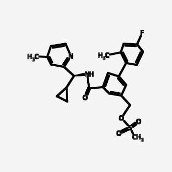 Cc1ccnc([C@@H](NC(=O)c2cc(COS(C)(=O)=O)cc(-c3ccc(F)cc3C)c2)C2CC2)c1